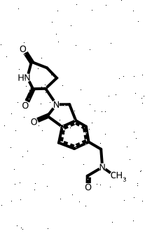 CN(C=O)Cc1ccc2c(c1)CN(C1CCC(=O)NC1=O)C2=O